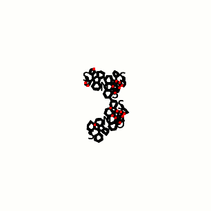 c1ccc2c(c1)Sc1ccccc1C21c2ccccc2-c2c(N(c3cccc4c3-c3ccccc3C43c4ccccc4Sc4cc(-c5ccc(N(c6cccc7c6-c6ccccc6C76c7ccccc7Sc7ccccc76)c6cccc7c6-c6ccccc6C76c7ccccc7Sc7ccccc76)c6c5sc5ccccc56)ccc43)c3cccc4oc5ccccc5c34)cccc21